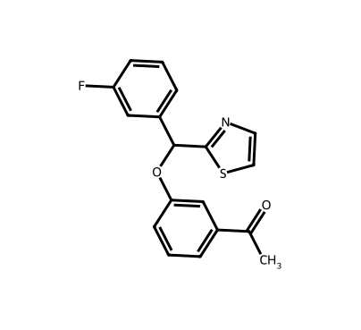 CC(=O)c1cccc(OC(c2cccc(F)c2)c2nccs2)c1